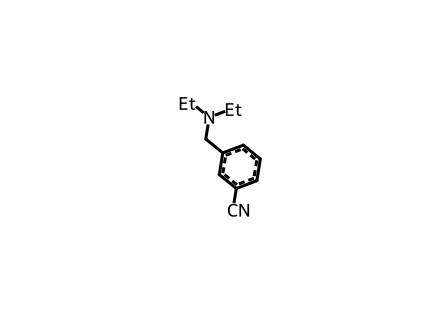 CCN(CC)Cc1cccc(C#N)c1